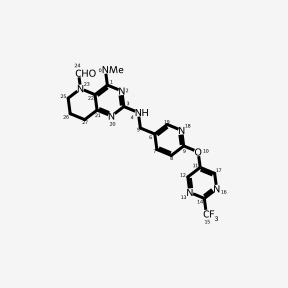 CNc1nc(NCc2ccc(Oc3cnc(C(F)(F)F)nc3)nc2)nc2c1N(C=O)CCC2